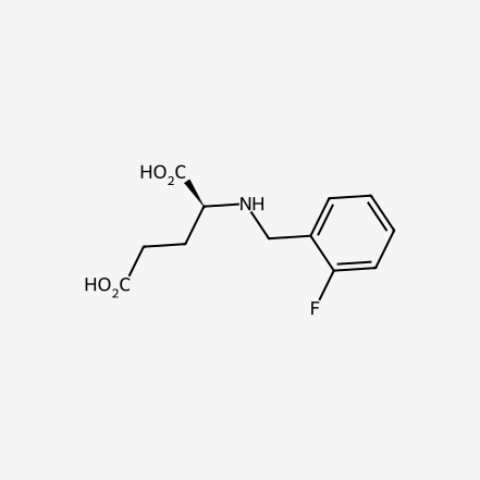 O=C(O)CC[C@H](NCc1ccccc1F)C(=O)O